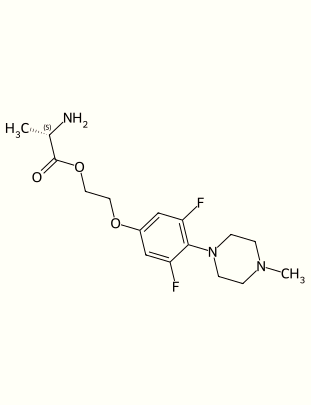 C[C@H](N)C(=O)OCCOc1cc(F)c(N2CCN(C)CC2)c(F)c1